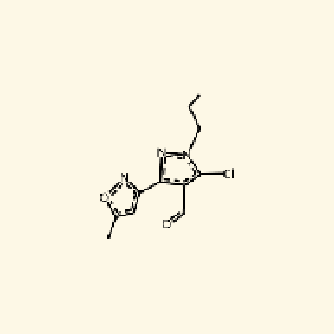 CCCn1nc(-c2cc(C)on2)c(C=O)c1Cl